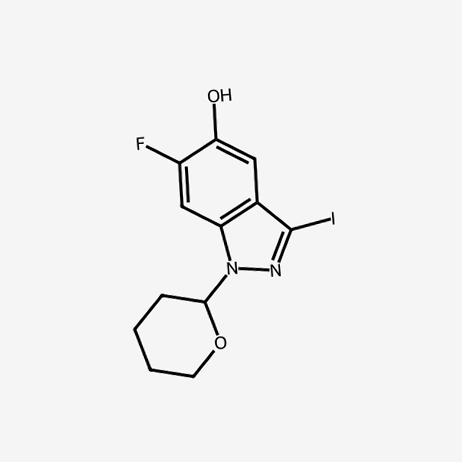 Oc1cc2c(I)nn(C3CCCCO3)c2cc1F